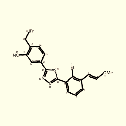 CCc1c(/C=C/OC)cccc1-c1nnc(-c2ccc(CC(C)C)c(C#N)c2)s1